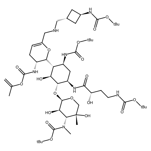 C=C(C)OC(=O)N[C@@H]1CC=C(CNC[C@H]2C[C@H](NC(=O)OC(C)(C)C)C2)OC1[C@H]1[C@H](O)[C@@H](O[C@H]2OC[C@](C)(O)[C@H](N(C)C(=O)OC(C)(C)C)[C@H]2O)[C@H](NC(=O)[C@@H](O)CCNC(=O)OC(C)(C)C)C[C@@H]1NC(=O)OC(C)(C)C